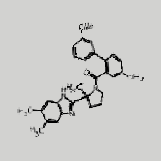 COc1cccc(-c2ccc(C)cc2C(=O)N2CCCC2(C)c2nc3cc(C)c(C)cc3[nH]2)c1